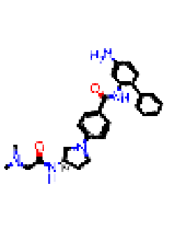 CN(C)CC(=O)N[C@H]1CCN(c2ccc(C(=O)Nc3cc(N)ccc3-c3ccccc3)cc2)C1